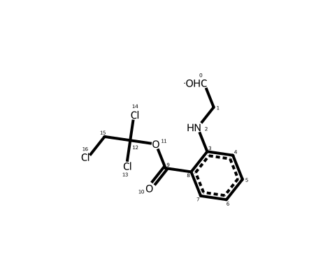 O=[C]CNc1ccccc1C(=O)OC(Cl)(Cl)CCl